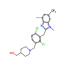 Cc1cc(C(F)(F)F)cc2c1nc(Cc1c(Cl)ccc(CN3CCC(CO)CC3)c1Cl)n2C